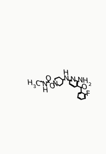 CCNC(=O)ON1CCC(Nc2ccc(C(=O)c3ccccc3F)c(N)n2)CC1